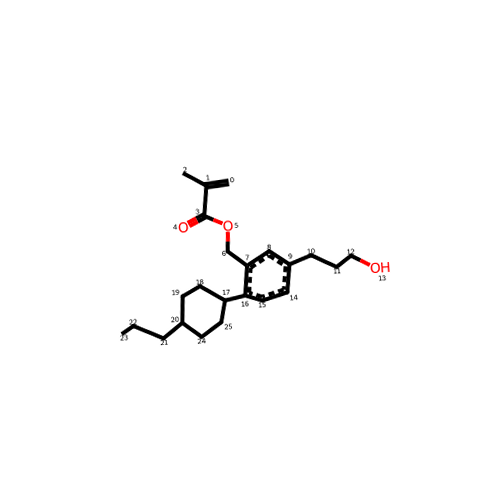 C=C(C)C(=O)OCc1cc(CCCO)ccc1C1CCC(CCC)CC1